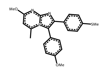 COc1ccc(-c2c(-c3ccc(SC)cc3)nc3nc(OC)cc(C)n23)cc1